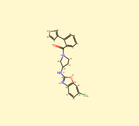 O=C(c1ccccc1-c1ccsc1)N1CCC(Nc2nc3ccc(Cl)cc3o2)C1